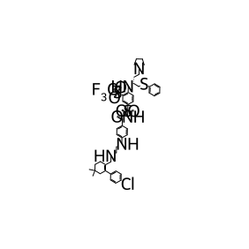 CC1(C)CCC(CNCCNc2ccc(C(=O)NS(=O)(=O)c3ccc(N[C@H](CCN4CCCC4)CSc4ccccc4)c(S(=O)(=O)C(F)(F)F)c3)cc2)=C(c2ccc(Cl)cc2)C1